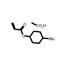 C=CC(=O)OC1CCC(C(C)(C)C)CC1.CC(=O)O